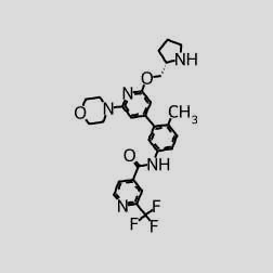 Cc1ccc(NC(=O)c2ccnc(C(F)(F)F)c2)cc1-c1cc(OC[C@@H]2CCCN2)nc(N2CCOCC2)c1